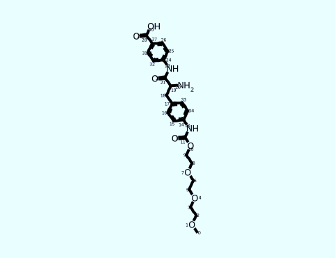 COCCOCCOCCOC(=O)Nc1ccc(CC(N)C(=O)Nc2ccc(C(=O)O)cc2)cc1